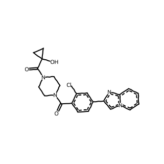 O=C(c1ccc(-c2cn3ccccc3n2)cc1Cl)N1CCN(C(=O)C2(O)CC2)CC1